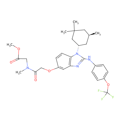 COC(=O)CN(C)C(=O)COc1ccc2c(c1)nc(Nc1ccc(OC(F)(F)F)cc1)n2[C@H]1C[C@H](C)CC(C)(C)C1